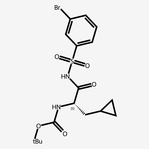 CC(C)(C)OC(=O)N[C@@H](CC1CC1)C(=O)NS(=O)(=O)c1cccc(Br)c1